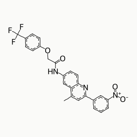 Cc1cc(-c2cccc([N+](=O)[O-])c2)nc2ccc(NC(=O)COc3ccc(C(F)(F)F)cc3)cc12